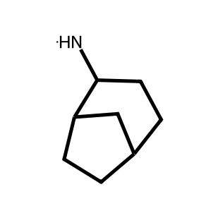 [NH]C1CCC2CCC1C2